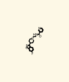 O=C(NCCN1CCC(c2noc3cc(F)ccc23)CC1)c1cccnc1